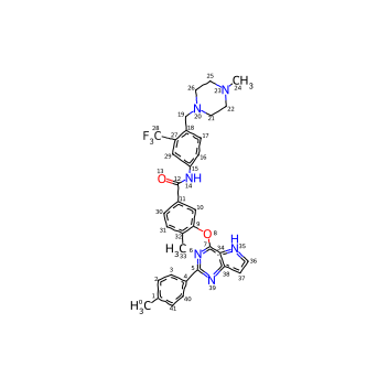 Cc1ccc(-c2nc(Oc3cc(C(=O)Nc4ccc(CN5CCN(C)CC5)c(C(F)(F)F)c4)ccc3C)c3[nH]ccc3n2)cc1